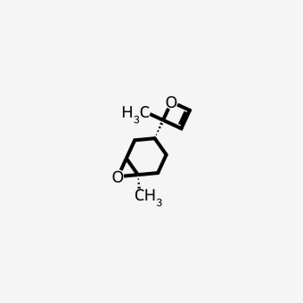 CC1([C@@H]2CC[C@@]3(C)OC3C2)C=CO1